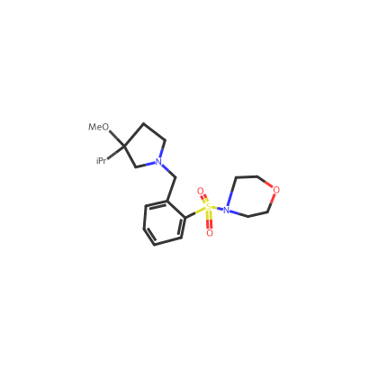 COC1(C(C)C)CCN(Cc2ccccc2S(=O)(=O)N2CCOCC2)C1